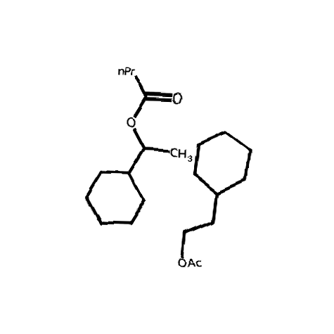 CC(=O)OCCC1CCCCC1.CCCC(=O)OC(C)C1CCCCC1